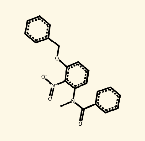 CN(C(=O)c1ccccc1)c1cccc(OCc2ccccc2)c1[N+](=O)[O-]